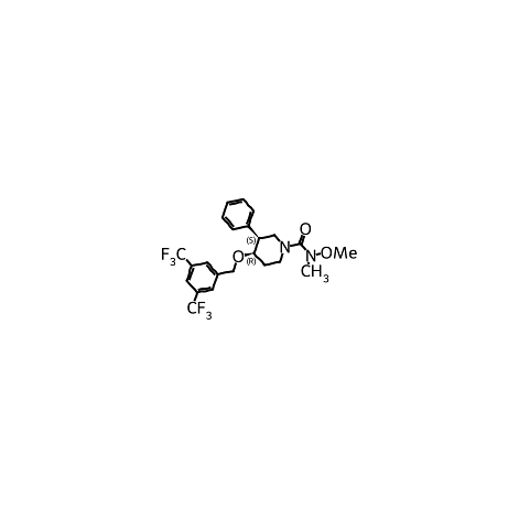 CON(C)C(=O)N1CC[C@@H](OCc2cc(C(F)(F)F)cc(C(F)(F)F)c2)[C@@H](c2ccccc2)C1